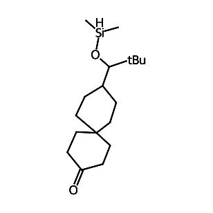 C[SiH](C)OC(C1CCC2(CCC(=O)CC2)CC1)C(C)(C)C